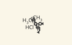 CC1CN(c2ccc(N3CCN(CC4CC4)CC3)c(C3CCC4(CC3)CC4)c2)CC(C)O1.Cl